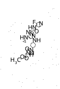 CCOC(=O)CNC(=O)NC1CCC(Nc2cc(NC3CC3)c3ncc(C(=O)Nc4ccncc4F)n3n2)CC1